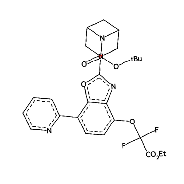 CCOC(=O)C(F)(F)Oc1ccc(-c2ccccn2)c2oc(N3CC4CC(C3)N4C(=O)OC(C)(C)C)nc12